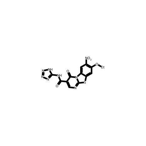 CCOc1cc2sc3ncc(C(=O)Nc4nnn[nH]4)c(=O)n3c2cc1[N+](=O)[O-]